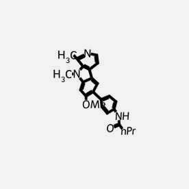 CCCC(=O)Nc1ccc(-c2cc3c4ccnc(C)c4n(C)c3cc2OC)cc1